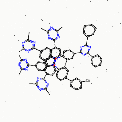 Cc1nc(C)nc(-c2ccc3c(c2)c2cc(-c4nc(C)nc(C)n4)ccc2n3-c2ccc(-c3cccc(C#N)c3)cc2-c2cc(-c3nc(-c4ccccc4)nc(-c4ccccc4)n3)ccc2-n2c3ccc(-c4nc(C)nc(C)n4)cc3c3cc(-c4nc(C)nc(C)n4)ccc32)n1